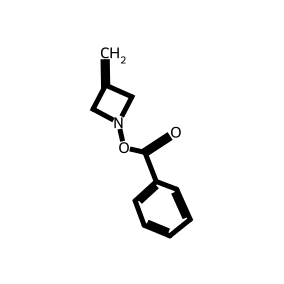 C=C1CN(OC(=O)c2ccccc2)C1